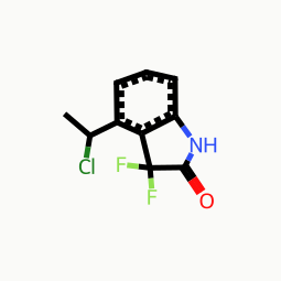 CC(Cl)c1cccc2c1C(F)(F)C(=O)N2